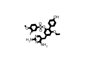 CCOc1cc(Cc2cnc(N)nc2N)cc(OS(=O)(=O)c2ccc(OC)c(F)c2)c1-c1ccc(O)cc1